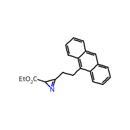 CCOC(=O)C1N=C1CCc1c2ccccc2cc2ccccc12